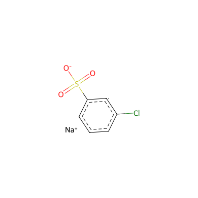 O=S(=O)([O-])c1[c]c(Cl)ccc1.[Na+]